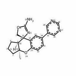 C[C@]12CCC[C@H]1[C@@]1(COC(N)=N1)c1cc(-c3cncnc3)ccc1O2